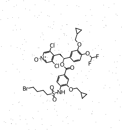 O=C(O[C@@H](Cc1c(Cl)c[n+]([O-])cc1Cl)c1ccc(OC(F)F)c(OCC2CC2)c1)c1ccc(NS(=O)(=O)CCCCBr)c(OCC2CC2)c1